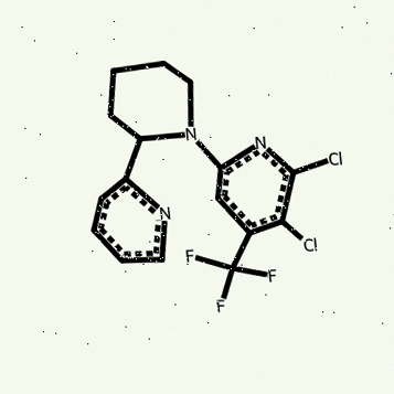 FC(F)(F)c1cc(N2CCCCC2c2ccccn2)nc(Cl)c1Cl